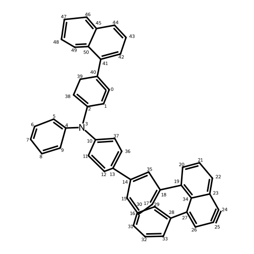 C1=CC(N(c2ccccc2)c2ccc(-c3cccc(-c4cccc5c#ccc(-c6ccccc6)c45)c3)cc2)=CCC=1c1cccc2ccccc12